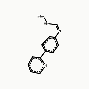 CCCCCCN/C=N\c1ccc(-c2ccccn2)cc1